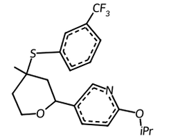 CC(C)Oc1ccc(C2CC(C)(Sc3cccc(C(F)(F)F)c3)CCO2)cn1